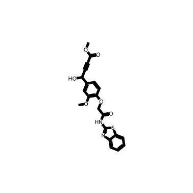 COC(=O)C#CC(O)c1ccc(OCC(=O)Nc2nc3ccccc3s2)c(OC)c1